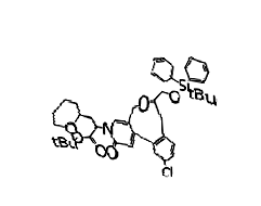 CC(C)(C)OC(=O)C(C[C@@H]1CCCCO1)n1cc2c(cc1=O)-c1cc(Cl)ccc1CC(CO[Si](c1ccccc1)(c1ccccc1)C(C)(C)C)OC2